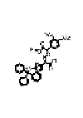 CC(=O)Oc1ccc(C(O/N=C(\C(=O)Cl)c2csc(NC(c3ccccc3)(c3ccccc3)c3ccccc3)n2)C(=O)OC(C)(C)C)cc1OC(C)=O